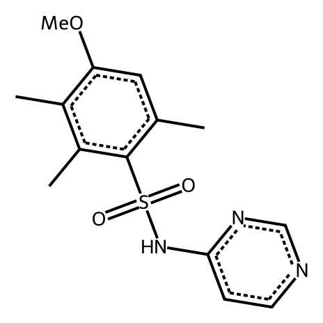 COc1cc(C)c(S(=O)(=O)Nc2ccncn2)c(C)c1C